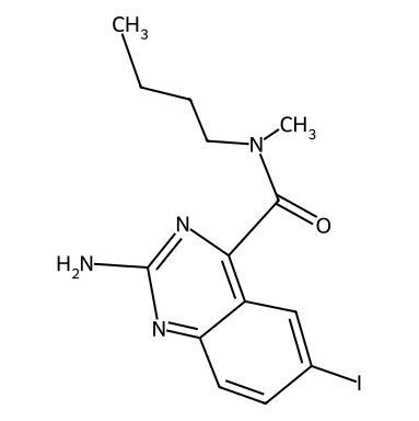 CCCCN(C)C(=O)c1nc(N)nc2ccc(I)cc12